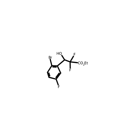 CCOC(=O)C(F)(F)C(O)c1cc(F)ccc1Br